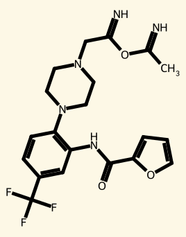 CC(=N)OC(=N)CN1CCN(c2ccc(C(F)(F)F)cc2NC(=O)c2ccco2)CC1